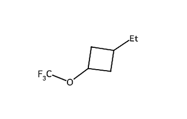 CCC1CC(OC(F)(F)F)C1